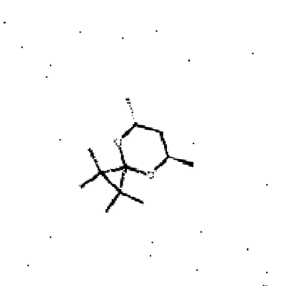 C[C@@H]1C[C@@H](C)OC2(O1)C(C)(C)C2(C)C